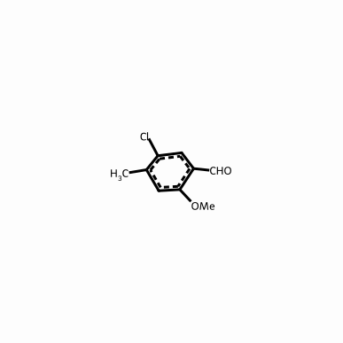 COc1cc(C)c(Cl)cc1C=O